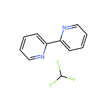 FC(F)F.c1ccc(-c2ccccn2)nc1